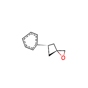 c1ccc([C@H]2C[C@]3(CO3)C2)cc1